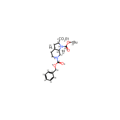 CCOC(=O)[C@@H]1C[C@@H]2CCN(C(=O)OCc3ccccc3)C[C@@H]2N1C(=O)OC(C)(C)C